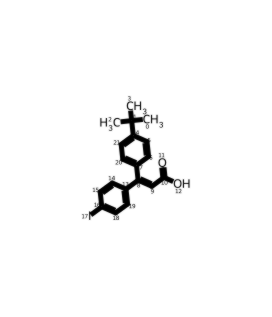 CC(C)(C)c1ccc(/C(=C\C(=O)O)c2ccc(I)cc2)cc1